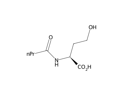 CCCC(=O)N[C@@H](CCO)C(=O)O